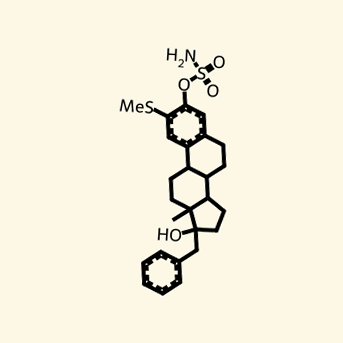 CSc1cc2c(cc1OS(N)(=O)=O)CCC1C2CCC2(C)C1CCC2(O)Cc1ccccc1